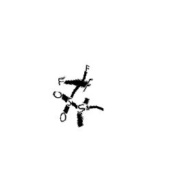 C[Si](C)(C)S(=O)(=O)C(F)(F)F